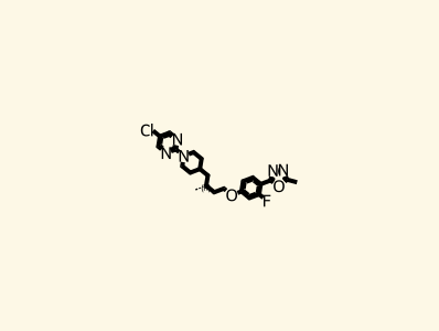 Cc1nnc(-c2ccc(OCC[C@H](C)CC3CCN(c4ncc(Cl)cn4)CC3)cc2F)o1